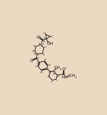 CNC(=O)C1CCCC(c2ccc(C(=O)N3CCN(C(=O)C4(O)CC4)CC3)cc2)N1C